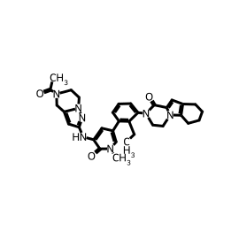 CCc1c(-c2cc(Nc3cc4n(n3)CCN(C(C)=O)C4)c(=O)n(C)c2)cccc1N1CCn2c(cc3c2CCCC3)C1=O